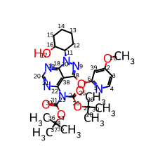 COc1ccnc(Oc2nn([C@@H]3CCCCC3O)c3ncnc(N(C(=O)OC(C)(C)C)C(=O)OC(C)(C)C)c23)c1